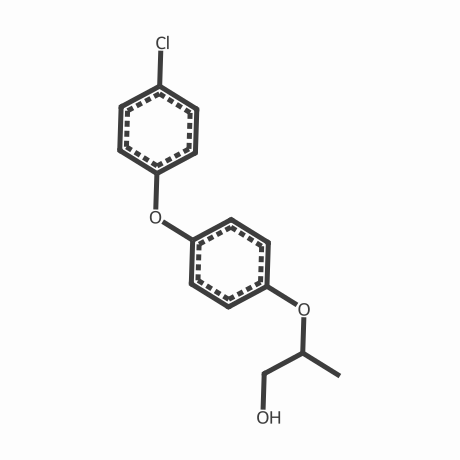 CC(CO)Oc1ccc(Oc2ccc(Cl)cc2)cc1